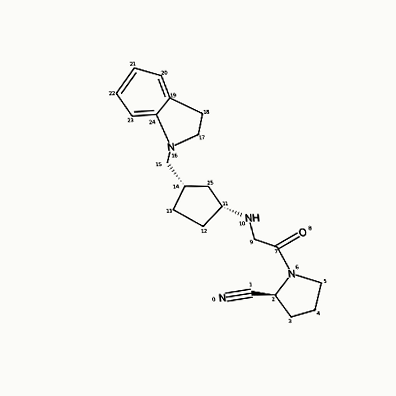 N#C[C@@H]1CCCN1C(=O)CN[C@@H]1CC[C@H](CN2CCc3ccccc32)C1